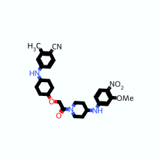 COc1cc(NC2CCN(C(=O)COC3CCC(Nc4ccc(C#N)c(C)c4)CC3)CC2)ccc1[N+](=O)[O-]